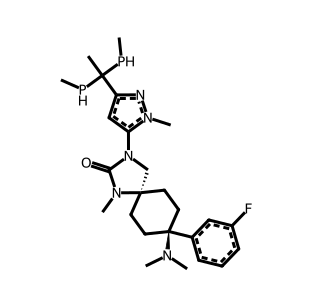 CPC(C)(PC)c1cc(N2C[C@]3(CC[C@](c4cccc(F)c4)(N(C)C)CC3)N(C)C2=O)n(C)n1